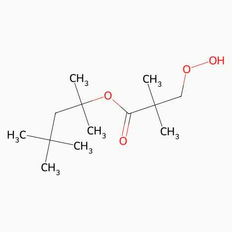 CC(C)(C)CC(C)(C)OC(=O)C(C)(C)COO